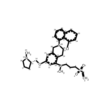 C=CS(=O)(=O)CCCN(C)c1nc(OC[C@@H]2CCCN2C)nc2c1CCN(c1cccc3cccc(Cl)c13)C2